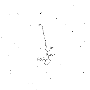 CC(C)CCCCCCCCCCC(CC(C)C)OC(=O)C1CCCCC1C(=O)O